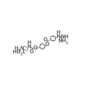 N=C(N)Nc1ccc(C(=O)Oc2ccc(COC(=O)NC(CN)CC(=O)O)cc2)cc1